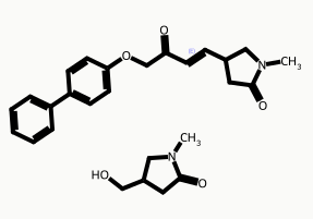 CN1CC(/C=C/C(=O)COc2ccc(-c3ccccc3)cc2)CC1=O.CN1CC(CO)CC1=O